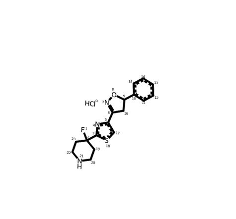 Cl.FC1(c2nc(C3=NOC(c4ccccc4)C3)cs2)CCNCC1